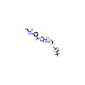 C/C=C/C(=O)Nc1cccc(C(C)N2CCC(C(=O)Nc3ncc(SCc4ncc(C(C)(C)C)o4)s3)CC2)c1